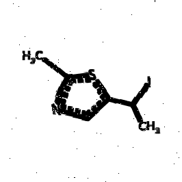 Cc1ncc(C(C)I)s1